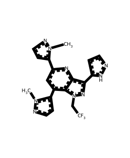 Cn1nccc1-c1cc(-c2ccnn2C)c2c(n1)c(-c1ccn[nH]1)nn2CC(F)(F)F